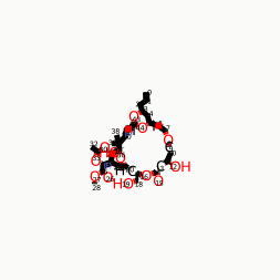 C=CCC1C[C@H]2CCOCC[C@@H](O)CC(=O)O[C@@H](CO)C[C@@H]3C/C(=C\C(=O)OC)[C@H](OC(C)=O)[C@@](O)(O3)C(C)(C)/C=C/[C@@H](O1)O2